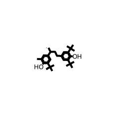 [CH2]C(CCc1cc(C(C)(C)C)c(O)c(C(C)(C)C)c1)c1cc(C)c(O)c(C(C)(C)C)c1